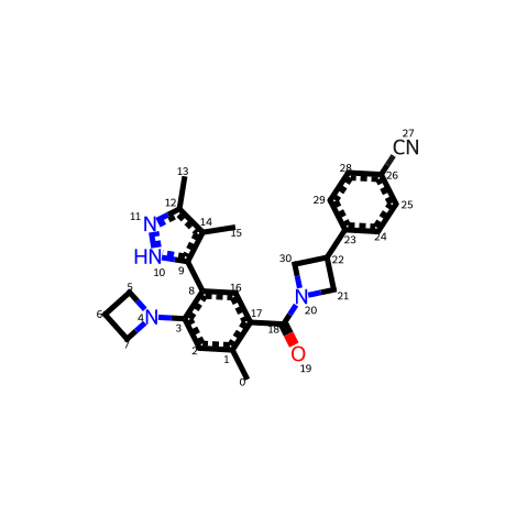 Cc1cc(N2CCC2)c(-c2[nH]nc(C)c2C)cc1C(=O)N1CC(c2ccc(C#N)cc2)C1